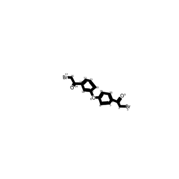 O=C(CBr)c1ccc(Oc2cccc(C(=O)CBr)c2)cc1